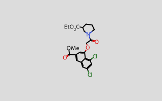 CCOC(=O)C1CCCN(C(=O)COc2cc(C(=O)OC)cc3cc(Cl)cc(Cl)c23)C1